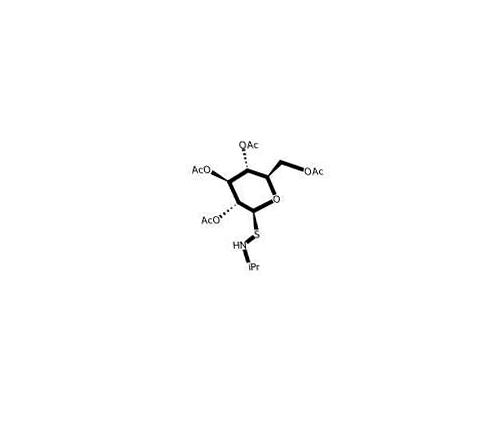 CC(=O)OC[C@H]1O[C@@H](SNC(C)C)[C@H](OC(C)=O)[C@@H](OC(C)=O)[C@@H]1OC(C)=O